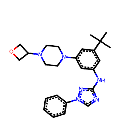 CC(C)(C)c1cc(Nc2ncn(-c3ccccc3)n2)cc(N2CCN(C3COC3)CC2)c1